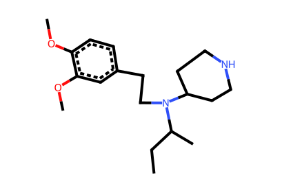 CCC(C)N(CCc1ccc(OC)c(OC)c1)C1CCNCC1